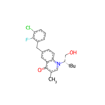 Cc1cn([C@H](CO)C(C)(C)C)c2ccc(Cc3cccc(Cl)c3F)cc2c1=O